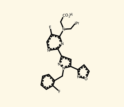 CC(C)CN(CC(=O)O)c1nc(-c2cc(-c3ccon3)n(Cc3ccccc3F)n2)ncc1F